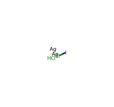 Cl.ClI.[Ag].[Ag]